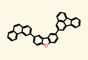 c1ccc2c(c1)-c1cccc3cc(-c4ccc5oc6ccc(-c7ccc8ccc9ccccc9c8c7)cc6c5c4)cc-2c13